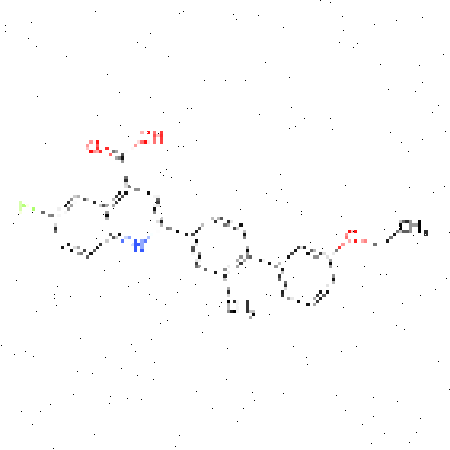 CCOc1cccc(-c2ccc(-c3cc(C(=O)O)c4cc(F)ccc4n3)cc2C)c1